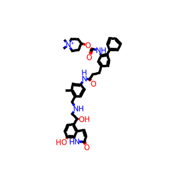 Cc1cc(NC(=O)CCc2ccc(-c3ccccc3)c(NC(=O)OC3CC[N+](C)(C)CC3)c2)ccc1CNC[C@@H](O)c1ccc(O)c2[nH]c(=O)ccc12